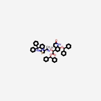 O=C(O)/C(=N\OC(C(=O)OC(c1ccccc1)c1ccccc1)c1ccc(OC(c2ccccc2)c2ccccc2)c2[nH]c(=O)ccc12)c1csc(NC(c2ccccc2)(c2ccccc2)c2ccccc2)n1